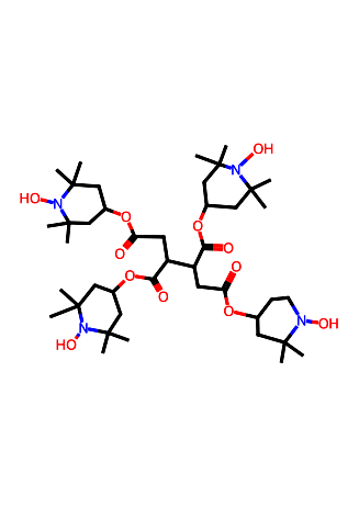 CC1(C)CC(OC(=O)CC(C(=O)OC2CC(C)(C)N(O)C(C)(C)C2)C(CC(=O)OC2CC(C)(C)N(O)C(C)(C)C2)C(=O)OC2CC(C)(C)N(O)C(C)(C)C2)CCN1O